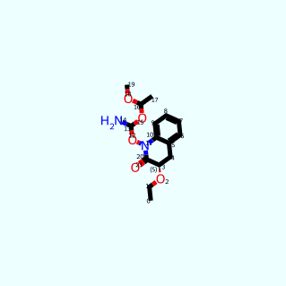 CCO[C@H]1Cc2ccccc2N(OC(N)OC(C)OC)C1=O